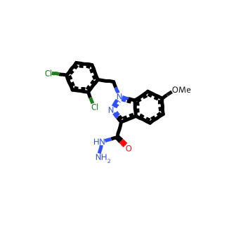 COc1ccc2c(C(=O)NN)nn(Cc3ccc(Cl)cc3Cl)c2c1